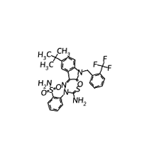 CC(C)(C)c1ccc2c(c1)/C(=N/N(C(N)=S)c1ccccc1S(N)(=O)=O)C(=O)N2Cc1ccccc1C(F)(F)F